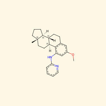 COc1cc2c(c(Nc3ccccn3)c1)[C@H]1CC[C@]3(C)CCC[C@H]3[C@@H]1CC2